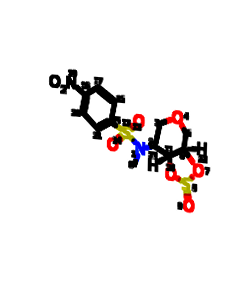 CN([C@H]1COC[C@@H]2OS(=O)O[C@@H]21)S(=O)(=O)c1ccc([N+](=O)[O-])cc1